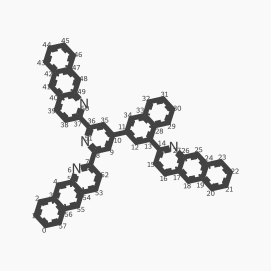 c1ccc2cc3nc(-c4cc(-c5cc(-c6ccc7cc8ccccc8cc7n6)c6ccccc6c5)cc(-c5ccc6cc7ccccc7cc6n5)n4)ccc3cc2c1